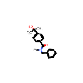 CC(C)N(Cc1ccccc1)C(=O)c1ccc(C(C)(O)C(F)(F)F)cc1